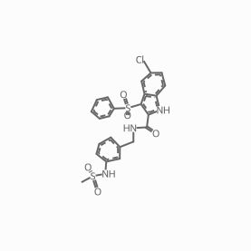 CS(=O)(=O)Nc1cccc(CNC(=O)c2[nH]c3ccc(Cl)cc3c2S(=O)(=O)c2ccccc2)c1